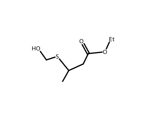 CCOC(=O)CC(C)SCO